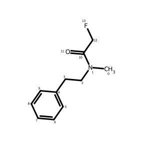 CN(CCc1ccccc1)C(=O)CF